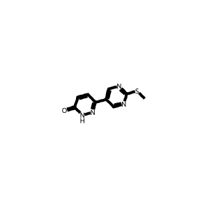 CSc1ncc(-c2ccc(=O)[nH]n2)cn1